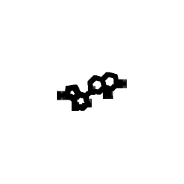 CC[C@]12CNCCC1CCN(c1ncnc3[nH]ccc13)C2